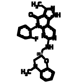 Cc1n[nH]c2c1c(=O)n(-c1ccccc1F)c1nc(NC[C@H]3CN(C)c4ccccc4O3)ncc21